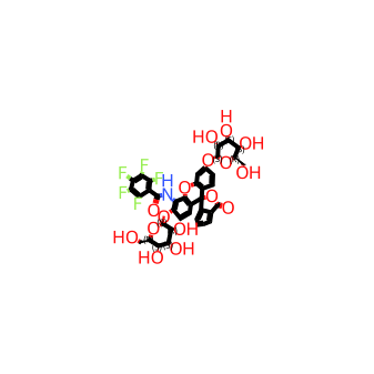 O=C1OC2(c3ccc(O[C@@H]4O[C@H](CO)[C@@H](O)[C@H](O)[C@H]4O)cc3Oc3c2ccc(O[C@@H]2O[C@H](CO)[C@@H](O)[C@H](O)[C@H]2O)c3NC(=O)c2c(F)c(F)c(F)c(F)c2F)c2ccccc21